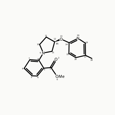 COC(=O)c1ccccc1N1CC[C@@H](Oc2ccc(C)cn2)C1